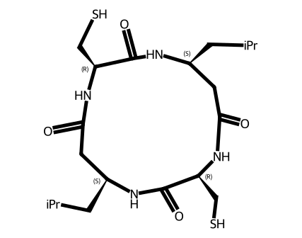 CC(C)C[C@H]1CC(=O)N[C@@H](CS)C(=O)N[C@@H](CC(C)C)CC(=O)N[C@@H](CS)C(=O)N1